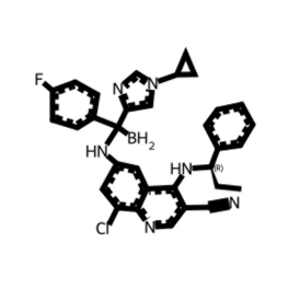 BC(Nc1cc(Cl)c2ncc(C#N)c(N[C@H](CC)c3ccccc3)c2c1)(c1ccc(F)cc1)c1cn(C2CC2)cn1